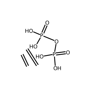 C=C.C=C.O=P(O)(O)OP(=O)(O)O